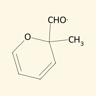 CC1([C]=O)C=CC=CO1